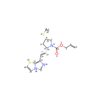 C=CCOC(=O)N1C[C@@H](SC(C)=O)C[C@H]1/C=C/c1ncn2ccsc12